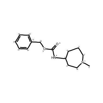 CN1CCCC(NC(=O)OCc2ccccc2)CC1